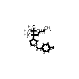 C=CCCC(C)(C1CCN(Cc2ccc(F)cc2)C1)C(C)(C)C